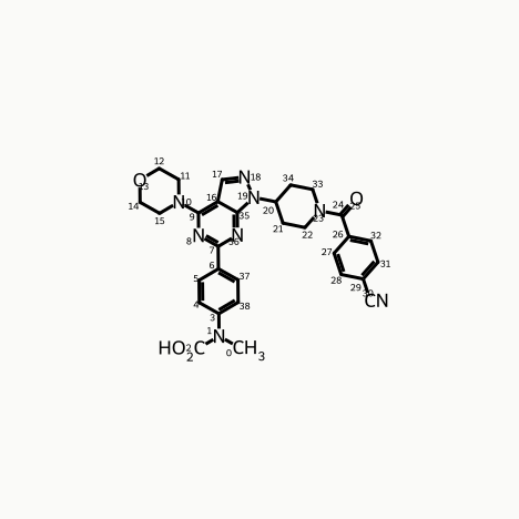 CN(C(=O)O)c1ccc(-c2nc(N3CCOCC3)c3cnn(C4CCN(C(=O)c5ccc(C#N)cc5)CC4)c3n2)cc1